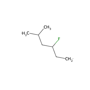 [CH2]CC(F)CC([CH2])C